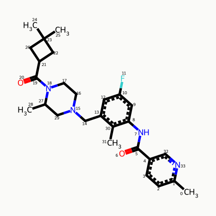 Cc1ccc(C(=O)Nc2cc(F)cc(CN3CCN(C(=O)C4CC(C)(C)C4)C(C)C3)c2C)cn1